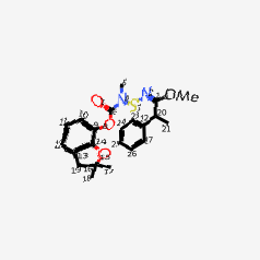 COC(=NSN(C)C(=O)Oc1cccc2c1OC(C)(C)C2)C(C)c1ccccc1